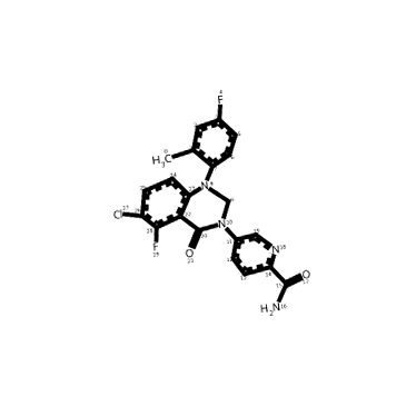 Cc1cc(F)ccc1N1CN(c2ccc(C(N)=O)nc2)C(=O)c2c1ccc(Cl)c2F